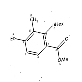 CCCCCCc1c(C(=O)OC)ccc(CC)c1C